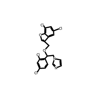 Clc1ccc(C(Cn2ccnc2)OCc2coc3c(Cl)cc(Cl)cc23)c(Cl)c1